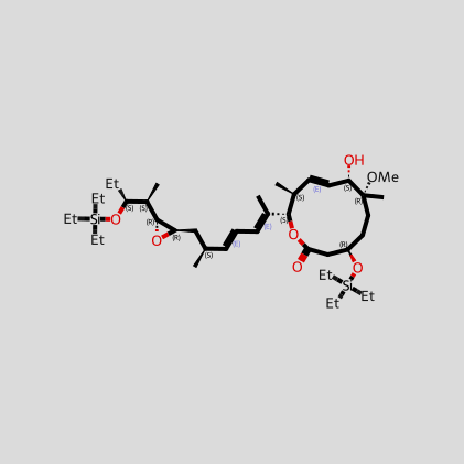 CC[C@H](O[Si](CC)(CC)CC)[C@@H](C)[C@H]1O[C@@H]1C[C@H](C)/C=C/C=C(\C)[C@H]1OC(=O)C[C@H](O[Si](CC)(CC)CC)CC[C@@](C)(OC)[C@@H](O)/C=C/[C@@H]1C